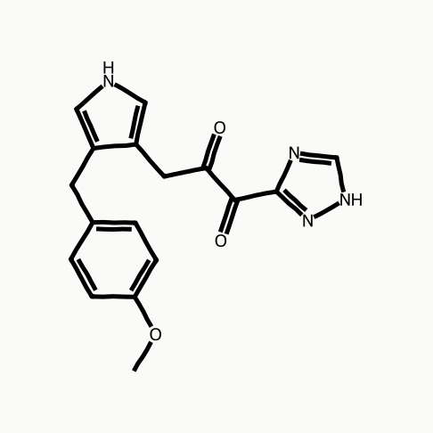 COc1ccc(Cc2c[nH]cc2CC(=O)C(=O)c2nc[nH]n2)cc1